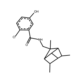 CC1C2C(C)C3C2C1C3(C)CNC(=O)c1cc(O)ccc1Cl